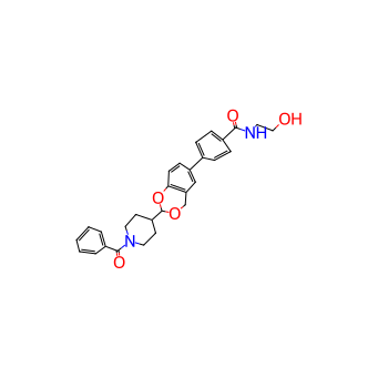 O=C(NCCO)c1ccc(-c2ccc3c(c2)COC(C2CCN(C(=O)c4ccccc4)CC2)O3)cc1